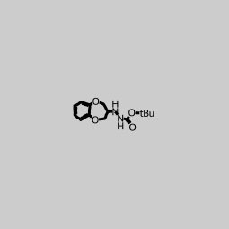 CC(C)(C)OC(=O)NNC1COc2ccccc2OC1